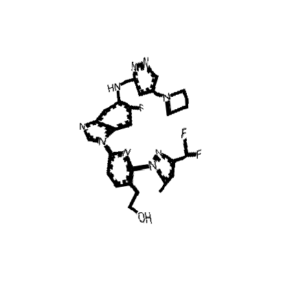 Cc1cc(C(F)F)nn1-c1nc(-n2cnc3cc(Nc4cc(N5CCC5)cnn4)c(F)cc32)ccc1CCO